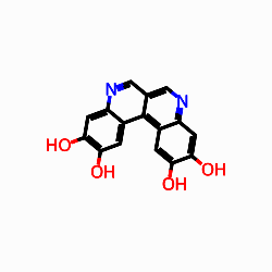 Oc1cc2ncc3cnc4cc(O)c(O)cc4c3c2cc1O